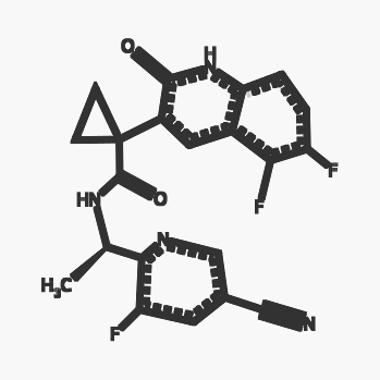 C[C@@H](NC(=O)C1(c2cc3c(F)c(F)ccc3[nH]c2=O)CC1)c1ncc(C#N)cc1F